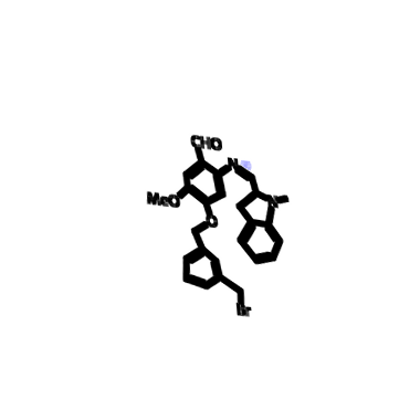 COc1cc(C=O)c(/N=C\C2Cc3ccccc3N2C)cc1OCc1cccc(CBr)c1